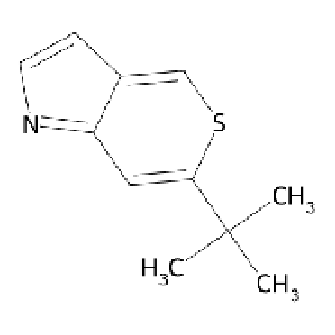 CC(C)(C)c1cc2nccc-2cs1